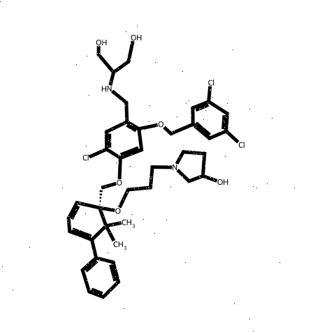 CC1(C)C(c2ccccc2)=CC=C[C@@]1(COc1cc(OCc2cc(Cl)cc(Cl)c2)c(CNC(CO)CO)cc1Cl)OCCCN1CCC(O)C1